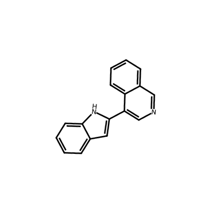 c1ccc2[nH]c(-c3cncc4ccccc34)cc2c1